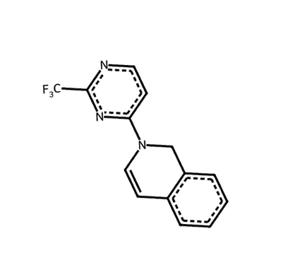 FC(F)(F)c1nccc(N2C=Cc3ccccc3C2)n1